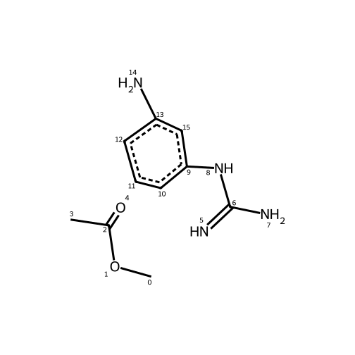 COC(C)=O.N=C(N)Nc1cccc(N)c1